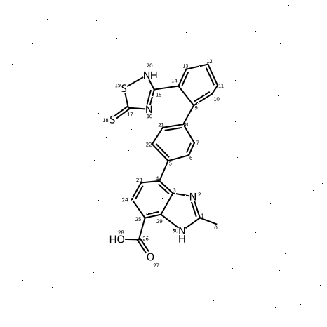 Cc1nc2c(-c3ccc(-c4ccccc4-c4nc(=S)s[nH]4)cc3)ccc(C(=O)O)c2[nH]1